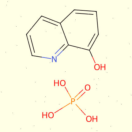 O=P(O)(O)O.Oc1cccc2cccnc12